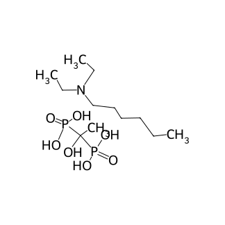 CC(O)(P(=O)(O)O)P(=O)(O)O.CCCCCCN(CC)CC